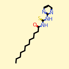 CCCCCCCCCCCC(=O)NC(=S)Nc1ncccn1